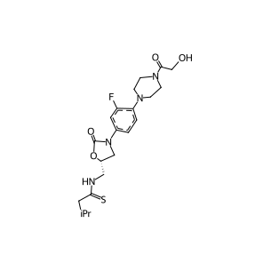 CC(C)CC(=S)NC[C@H]1CN(c2ccc(N3CCN(C(=O)CO)CC3)c(F)c2)C(=O)O1